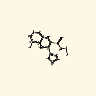 CCOC(=O)c1nc2cccc(C)c2nc1-n1ccnc1